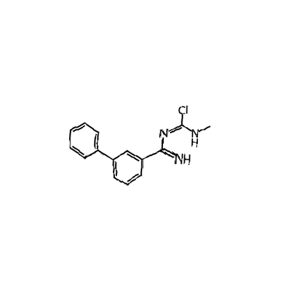 CN/C(Cl)=N\C(=N)c1cccc(-c2ccccc2)c1